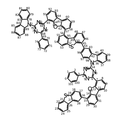 c1ccc(-c2nc(-c3cccc4c3oc3c(-c5ccc6sc7ccccc7c6c5)cccc34)nc(-n3c4ccccc4c4cc(-c5cccc6c5sc5cccc(-c7cccc8c7oc7c(-c9nc(-c%10ccccc%10)nc(-n%10c%11ccccc%11c%11ccccc%11%10)n9)cccc78)c56)ccc43)n2)cc1